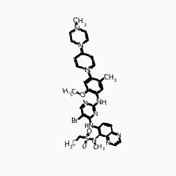 CCS(=O)(=O)N(C)c1c(Nc2nc(Nc3cc(C)c(N4CCC(N5CCN(C)CC5)CC4)cc3OC)ncc2Br)ccc2nccnc12